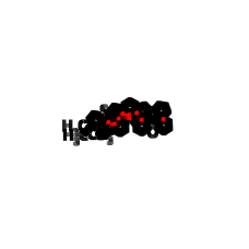 CC(C)(C)c1ccc2c(c1)C1(c3cc(C(C)(C)C)ccc3S2)c2ccccc2-c2ccc(N(c3ccc4c(c3)C3(c5ccccc5O4)c4ccccc4-c4ccccc43)c3ccccc3-c3ccccc3)cc21